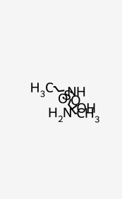 CCCCS(=N)(=O)CC[C@@](N)(CC)C(=O)O